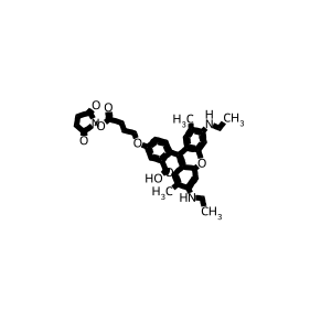 CCNC1=CC2Oc3cc(NCC)c(C)cc3C(c3ccc(OCCCC(=O)ON4C(=O)CCC4=O)cc3C(=O)O)=C2C=C1C